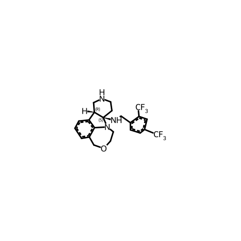 FC(F)(F)c1ccc(CN[C@]23CCNC[C@H]2c2cccc4c2N3CCOC4)c(C(F)(F)F)c1